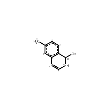 Cc1ccc2c(c1)N=CNC2Cl